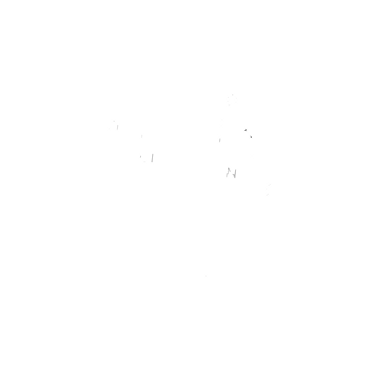 CCN(c1csc(-c2ccc(C(C)(C)C)cc2)n1)S(=O)(=O)c1ccc(C)c(C(=O)O)c1